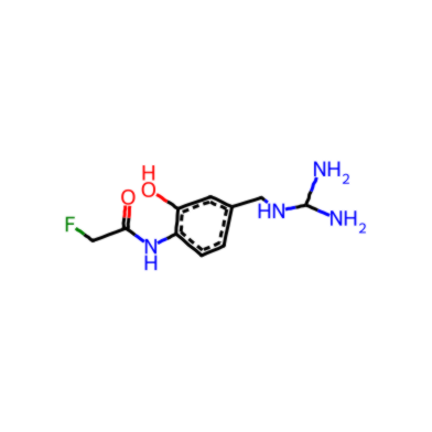 NC(N)NCc1ccc(NC(=O)CF)c(O)c1